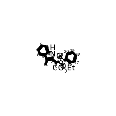 CCOC(=O)C(c1[nH]c2ccccc2c1C)S(=O)(=O)c1ccccc1